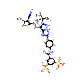 Cc1nsc(N=Nc2c(C(C)(C)C)nn3nc(-c4ccc(NC(=O)c5cc(S(=O)(=O)O)cc(S(=O)(=O)O)c5)cc4)[nH]c23)c1C#N